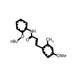 CCCCOc1ccccc1NC(=O)/C=C/c1ccc(OC)cc1C